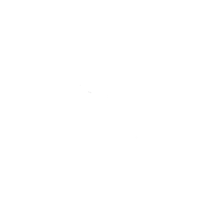 Cn1c2ccc(C(C)(C)C)cc2c2c3sc4ccccc4c3ccc21